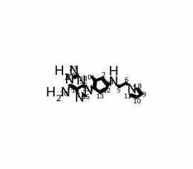 Cc1cc(NCCn2cccc2)ccc1-n1cnc2c(N)nc(N)nc21